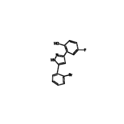 Oc1ccc(F)cc1-c1cc(-c2ccccc2Br)[nH]n1